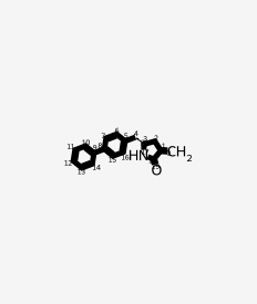 C=C1C[C@@H](Cc2ccc(-c3ccccc3)cc2)NC1=O